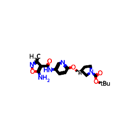 Cc1noc(N)c1C(=O)Nc1ccc(OC[C@@H]2CCN(C(=O)OC(C)(C)C)C2)nc1